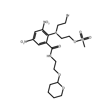 CS(=O)(=O)OCCN(CCBr)c1c(C(=O)NCCOC2CCCCO2)cc([N+](=O)[O-])cc1[N+](=O)[O-]